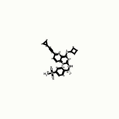 C[C@@H](Nc1nc(OC2CCC2)c2nc(C#CC3CC3)ccc2n1)c1ccc(S(N)(=O)=O)cc1